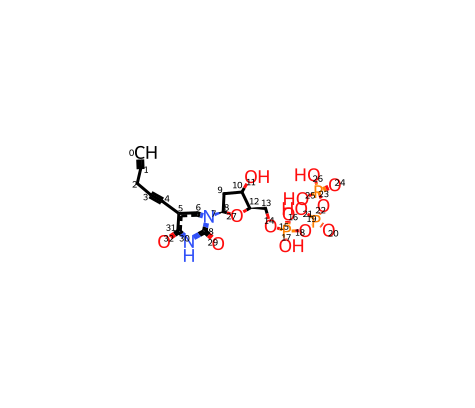 C#CCC#Cc1cn([C@H]2CC(O)[C@@H](COP(=O)(O)OP(=O)(O)OP(=O)(O)O)O2)c(=O)[nH]c1=O